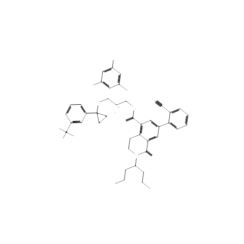 CCCC(CCC)N1CCc2c(C(=O)N[C@@H](Cc3cc(F)cc(F)c3)[C@H](O)CNC3(c4cccc(C(F)(F)F)c4)CC3)cc(-c3ccccc3C#N)cc2C1=O